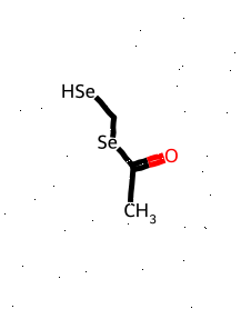 CC(=O)[Se]C[SeH]